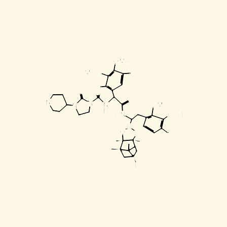 COc1c(F)cc(C(NC(=O)N2CCN(C3CCNCC3)C2=O)C(=O)NC(Cc2ccc(F)c(C(=O)O)c2OC)B2O[C@@H]3C[C@@H]4C[C@@H](C4(C)C)[C@]3(C)O2)c(Cl)c1OC